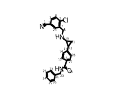 N#Cc1ccc(Cl)c(CNC2CC2c2ccc(C(=O)NCc3ccccc3)cc2)c1